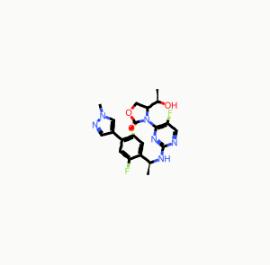 C[C@H](Nc1ncc(F)c(N2C(=O)OCC2[C@@H](C)O)n1)c1cc(F)c(-c2cnn(C)c2)cc1F